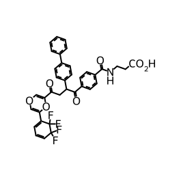 O=C(O)CCNC(=O)c1ccc(C(=O)C(CC(=O)C2=COC=C(C3=CC=CC(F)(F)C3(F)F)O2)c2ccc(-c3ccccc3)cc2)cc1